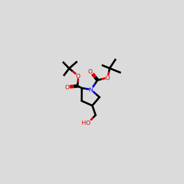 CC(C)(C)OC(=O)C1CC(CO)CN1C(=O)OC(C)(C)C